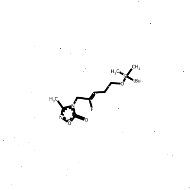 Cc1noc(=O)n1C/C(F)=C/CCO[Si](C)(C)C(C)(C)C